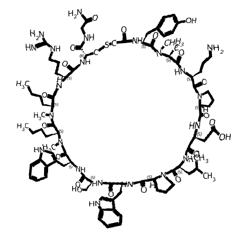 CCCC[C@H]1C(=O)N(C)[C@@H](CCCC)C(=O)N[C@@H](CCCNC(=N)N)C(=O)N[C@H](C(=O)NCC(N)=O)CSCC(=O)N[C@@H](Cc2ccc(O)cc2)C(=O)N(C)[C@@H](C)C(=O)N[C@@H](CCCN)C(=O)N2CCC[C@H]2C(=O)N[C@@H](CC(=O)O)C(=O)N[C@@H](CC(C)C)C(=O)N2CCC[C@H]2C(=O)N[C@@H](Cc2c[nH]c3ccccc23)C(=O)N[C@@H](CO)C(=O)N[C@@H](Cc2c[nH]c3ccccc23)C(=O)N1C